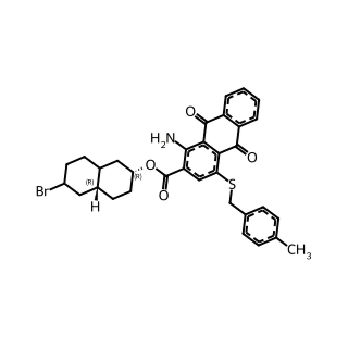 Cc1ccc(CSc2cc(C(=O)O[C@@H]3CC[C@@H]4CC(Br)CCC4C3)c(N)c3c2C(=O)c2ccccc2C3=O)cc1